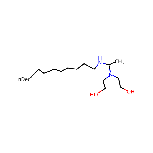 CCCCCCCCCCCCCCCCCCNC(C)N(CCO)CCO